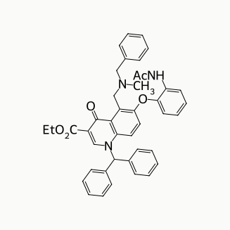 CCOC(=O)c1cn(C(c2ccccc2)c2ccccc2)c2ccc(Oc3ccccc3NC(C)=O)c(CN(C)Cc3ccccc3)c2c1=O